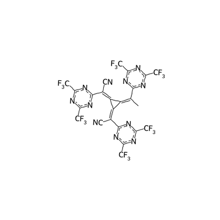 C/C(=C1/C(=C(C#N)c2nc(C(F)(F)F)nc(C(F)(F)F)n2)/C1=C(\C#N)c1nc(C(F)(F)F)nc(C(F)(F)F)n1)c1nc(C(F)(F)F)nc(C(F)(F)F)n1